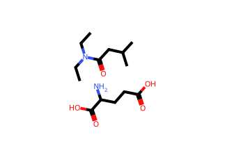 CCN(CC)C(=O)CC(C)C.NC(CCC(=O)O)C(=O)O